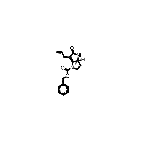 C=CCC1=C2[C@@H](CCN2C(=O)OCc2ccccc2)NC1=O